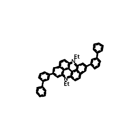 CCn1c2ccc3cc(-c4cccc(-c5ccccc5)c4)cc4c3c2-c2c3c(ccc2n4CC)cc(-c2cccc(-c4ccccc4)c2)cc31